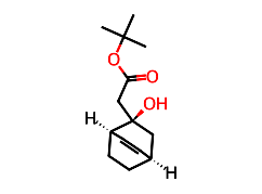 CC(C)(C)OC(=O)C[C@]1(O)C[C@@H]2C=C[C@H]1CC2